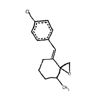 CC1CCC/C(=C\c2ccc(Cl)cc2)C12CO2